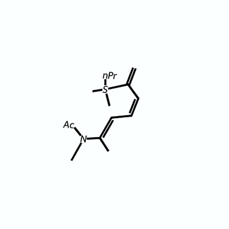 C=C(/C=C\C=C(/C)N(C)C(C)=O)S(C)(C)CCC